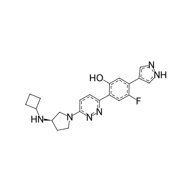 Oc1cc(-c2cn[nH]c2)c(F)cc1-c1ccc(N2CC[C@@H](NC3CCC3)C2)nn1